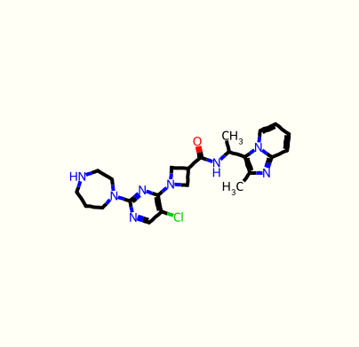 Cc1nc2ccccn2c1C(C)NC(=O)C1CN(c2nc(N3CCCNCC3)ncc2Cl)C1